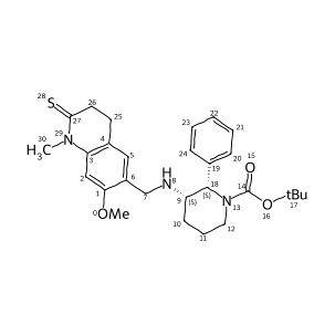 COc1cc2c(cc1CN[C@H]1CCCN(C(=O)OC(C)(C)C)[C@H]1c1ccccc1)CCC(=S)N2C